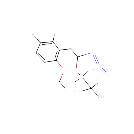 CCOc1[c]cc(Cl)c(F)c1CC(N=[N+]=[N-])O[Si](C)(C)C(C)(C)C